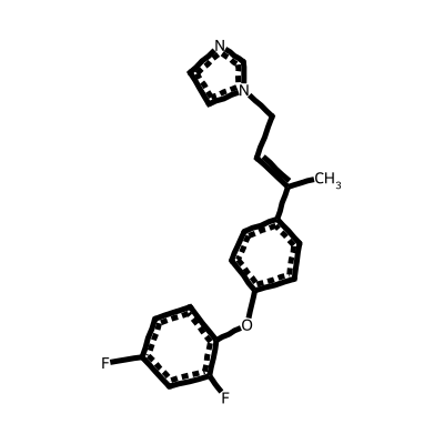 CC(=CCn1ccnc1)c1ccc(Oc2ccc(F)cc2F)cc1